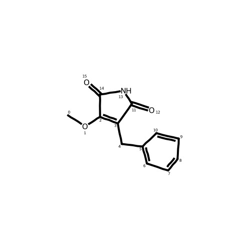 COC1=C(Cc2ccccc2)C(=O)NC1=O